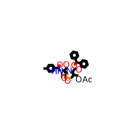 CC(=O)OCC1=C(C(=O)OC(c2ccccc2)c2ccccc2)N2C(=O)[C@@H](NC(=O)c3ccc(C)cc3)[C@@H]2S(=O)(=O)C1